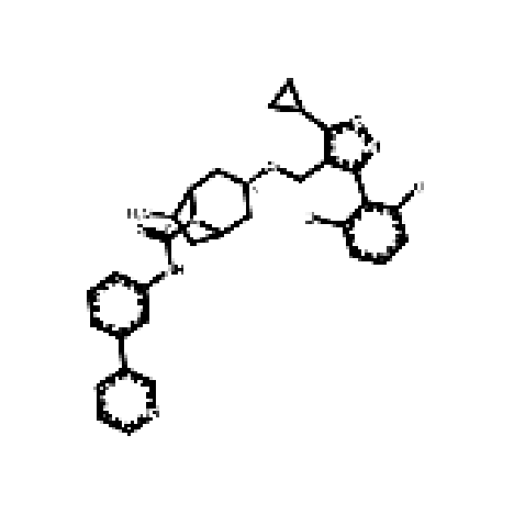 C[C@@H]1CC2C[C@H](OCc3c(-c4c(Cl)cccc4Cl)noc3C3CC3)CC1N2C(=O)Nc1cccc(-c2cccnc2)c1